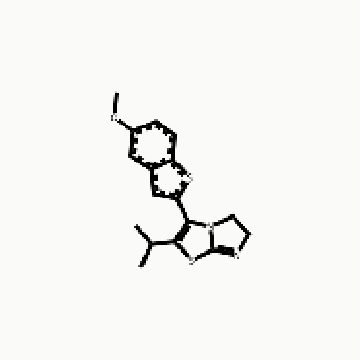 COc1ccc2sc(C3=C(C(C)C)SC4=NCCN43)cc2c1